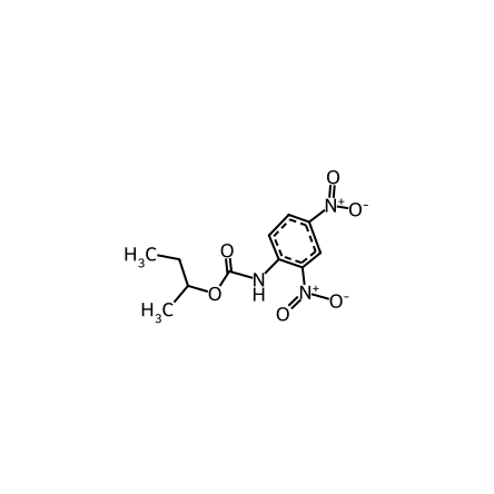 CCC(C)OC(=O)Nc1ccc([N+](=O)[O-])cc1[N+](=O)[O-]